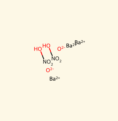 O=[N+]([O-])O.O=[N+]([O-])O.[Ba+2].[Ba+2].[Ba+2].[O-2].[O-2]